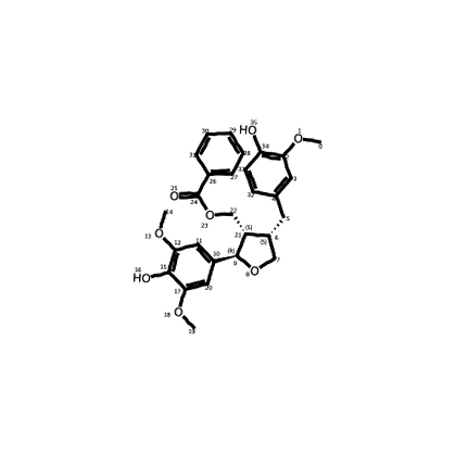 COc1cc(C[C@@H]2CO[C@@H](c3cc(OC)c(O)c(OC)c3)[C@@H]2COC(=O)c2ccccc2)ccc1O